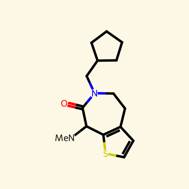 CNC1C(=O)N(CC2CCCC2)CCc2ccsc21